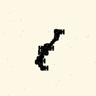 O=CC(NCCOCCO)OCCOCCNC(=O)CC[C@H](NC(=O)CCCCCCCCOc1ccc(C(=O)O)cc1)C(=O)O